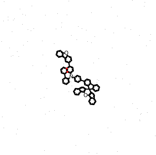 c1ccc(-c2ccccc2N(c2ccc(-c3ccc4c(c3)C3(c5ccccc5-4)c4ccc5ccccc5c4Oc4c3ccc3ccccc43)cc2)c2ccc(-c3ccc4oc5ccccc5c4c3)cc2)cc1